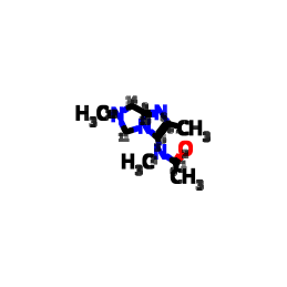 CC(=O)N(C)c1c(C)nc2n1CN(C)C2